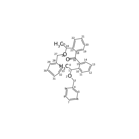 CC(OCc1ccccc1)c1ccccc1C(=O)c1ccccc1C(C)OCc1ccccc1